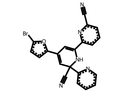 N#Cc1cccc(C2=CC(c3ccc(Br)o3)=CC(C#N)(c3ccccn3)N2)n1